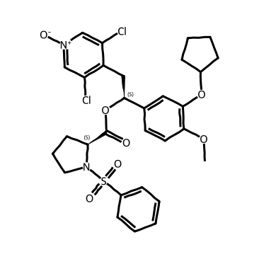 COc1ccc([C@H](Cc2c(Cl)c[n+]([O-])cc2Cl)OC(=O)[C@@H]2CCCN2S(=O)(=O)c2ccccc2)cc1OC1CCCC1